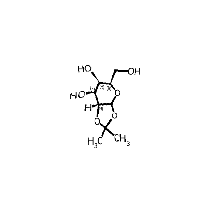 CC1(C)OC2O[C@H](CO)[C@H](O)[C@H](O)[C@H]2O1